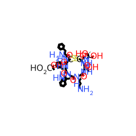 CC(O)C(=O)O.CC(O)[C@@H]1NC(=O)[C@H](CCCCN)NC(=O)[C@@H](Cc2c[nH]c3ccccc23)NC(=O)[C@H](Cc2ccccc2)NC(=O)[C@@H](NC(=O)[C@H](N)Cc2ccccc2)CSSC[C@@H](C(=O)N[C@H](CO)[C@@H](C)O)NC1=O